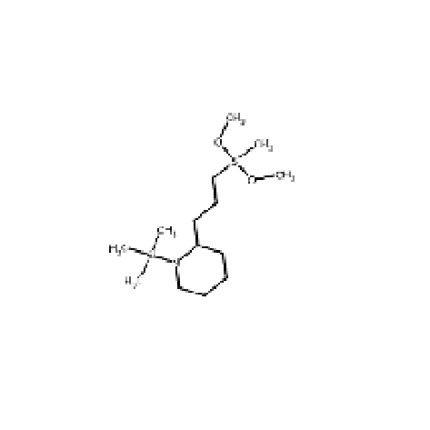 CO[Si](C)(CCCC1CCCCN1[Si](C)(C)C)OC